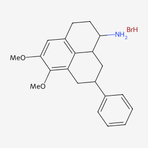 Br.COc1cc2c3c(c1OC)CC(c1ccccc1)CC3C(N)CC2